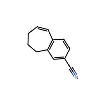 N#Cc1ccc2c(c1)CCCC=C2